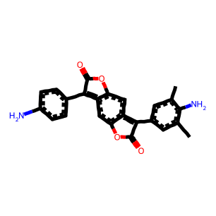 Cc1cc(C2=c3cc4c(cc3OC2=O)=C(c2ccc(N)cc2)C(=O)O4)cc(C)c1N